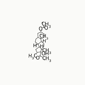 CC(=O)OC1CC[C@@]2(C)C(CC[C@@H]3[C@@H]2CC[C@@]2(C)[C@H]3CC(C)[C@]2(O)C(C)=O)C1